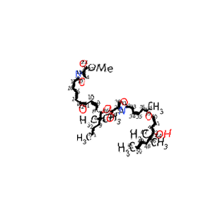 C/C=C/CC(C)(C)[C@H](C/C=C\[C@H]1O[C@H]1/C=C/C=C\c1nc(C(=O)OC)co1)OC(=O)c1coc(C/C=C\C[C@H](C)O/C=C\C[C@H](O)C(C)(C)C/C=C/C)n1